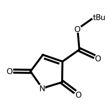 CC(C)(C)OC(=O)C1=CC(=O)[N]C1=O